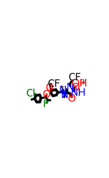 Cc1ccc(C(Oc2ccc(-c3nc4c(c(=O)[nH]c(=O)n4CC(O)C(F)(F)F)n3C)cc2OC(F)(F)F)C(C)F)cc1Cl